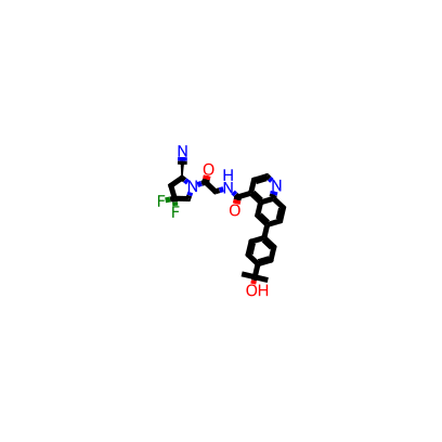 CC(C)(O)c1ccc(-c2ccc3nccc(C(=O)NCC(=O)N4CC(F)(F)C[C@H]4C#N)c3c2)cc1